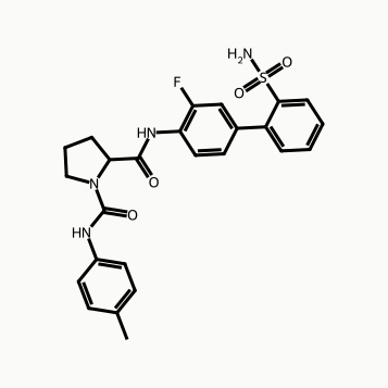 Cc1ccc(NC(=O)N2CCCC2C(=O)Nc2ccc(-c3ccccc3S(N)(=O)=O)cc2F)cc1